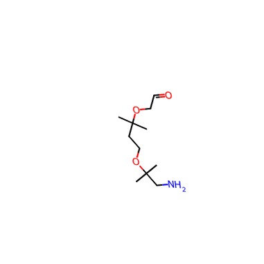 CC(C)(CN)OCCC(C)(C)OCC=O